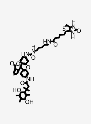 CC1=C(C)C(O)C(C(C)(C)CC(=O)Nc2ccc3c(c2)Oc2cc(NC(=O)NCCCCCNC(=O)CCCCC4SCC5NC(=O)NC54)ccc2C32OC(=O)c3ccccc32)=C(C)C1O